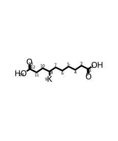 O=C(O)CCCCC[CH]([K])CCC(=O)O